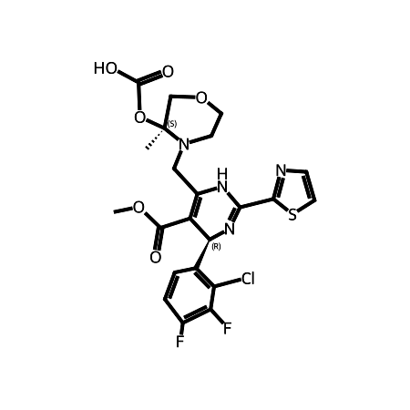 COC(=O)C1=C(CN2CCOC[C@]2(C)OC(=O)O)NC(c2nccs2)=N[C@H]1c1ccc(F)c(F)c1Cl